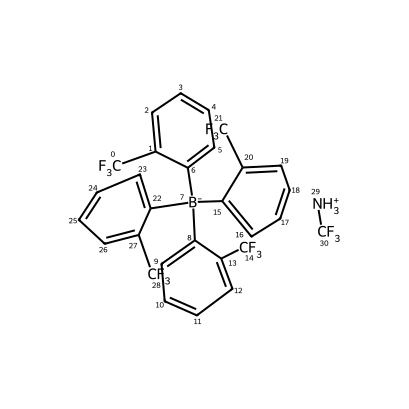 FC(F)(F)c1ccccc1[B-](c1ccccc1C(F)(F)F)(c1ccccc1C(F)(F)F)c1ccccc1C(F)(F)F.[NH3+]C(F)(F)F